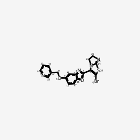 BrC1=C(c2nc3cc(OCc4cccnc4)ccc3o2)N2CCN=C2S1